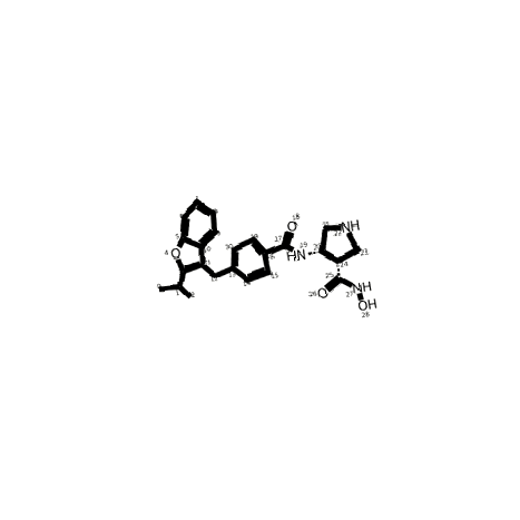 CC(C)c1oc2ccccc2c1Cc1ccc(C(=O)N[C@@H]2CNC[C@@H]2C(=O)NO)cc1